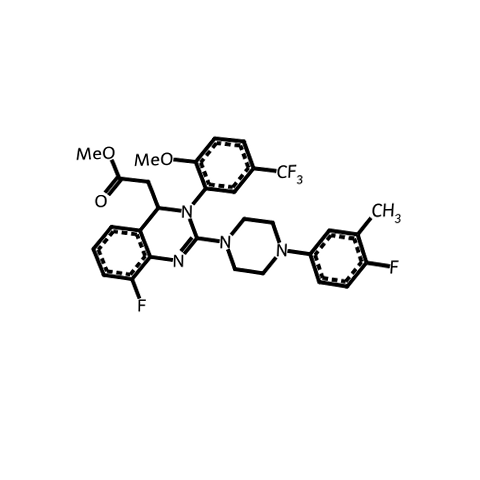 COC(=O)CC1c2cccc(F)c2N=C(N2CCN(c3ccc(F)c(C)c3)CC2)N1c1cc(C(F)(F)F)ccc1OC